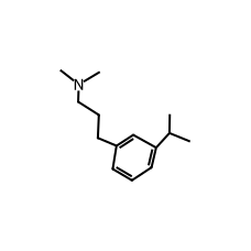 CC(C)c1cccc(CCCN(C)C)c1